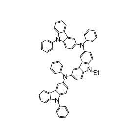 CCn1c2ccc(N(c3ccccc3)c3ccc4c(c3)c3ccccc3n4-c3ccccc3)cc2c2cc(N(c3ccccc3)c3ccc4c(c3)c3ccccc3n4-c3ccccc3)ccc21